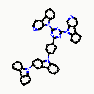 c1ccc2c(c1)c1ccccc1n2-c1ccc2c(c1)c1ccccc1n2-c1ccc(-c2nc(-n3c4ccccc4c4ccncc43)nc(-n3c4ccccc4c4ccncc43)n2)cc1